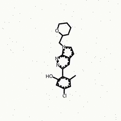 Cc1cc(Cl)cc(O)c1-c1cc2ccn(CC3CCCCO3)c2nn1